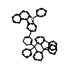 C1=C(c2ccc3c(c2)c2c4ccccc4ccc2n3-c2ccccc2)C=C(C2(c3ccccc3)c3ccccc3C3(c4ccccc4)c4ccccc4-c4cccc2c43)CC1